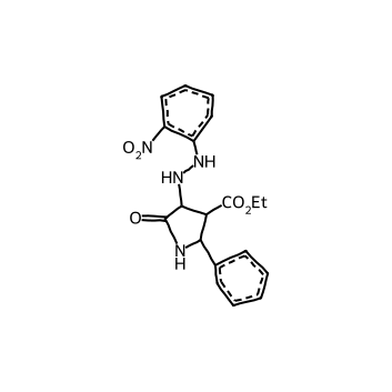 CCOC(=O)C1C(NNc2ccccc2[N+](=O)[O-])C(=O)NC1c1ccccc1